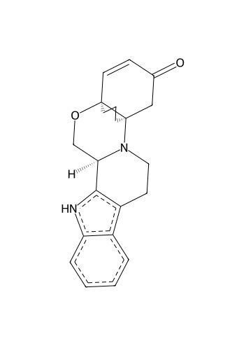 O=C1C=C[C@@]23CCC[C@]2(C1)N1CCc2c([nH]c4ccccc24)[C@H]1CO3